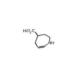 O=C(O)C1CC=CNCC1